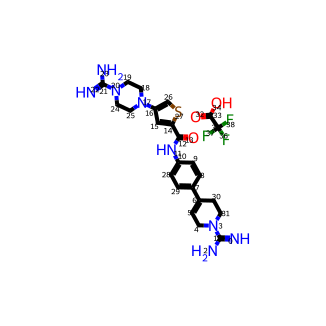 N=C(N)N1CC=C(c2ccc(NC(=O)c3cc(N4CCN(C(=N)N)CC4)cs3)cc2)CC1.O=C(O)C(F)(F)F